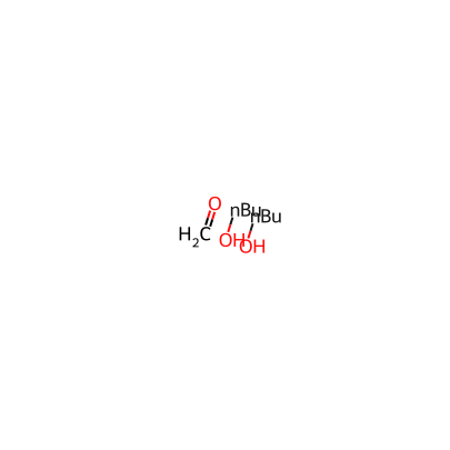 C=O.CCCCO.CCCCO